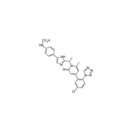 Cc1cc(-c2cc(Cl)ccc2-n2cnnn2)cc(=O)n1C(C)c1ncc(-c2ccc(NC(=O)O)cc2)[nH]1